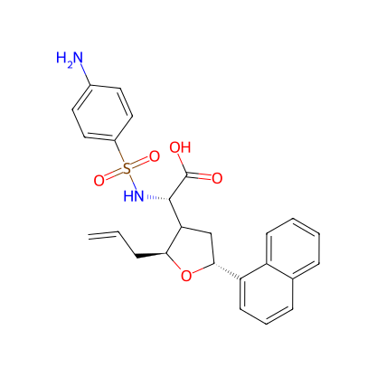 C=CC[C@@H]1O[C@@H](c2cccc3ccccc23)CC1[C@H](NS(=O)(=O)c1ccc(N)cc1)C(=O)O